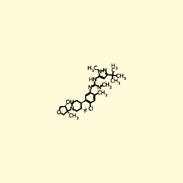 C=N/C(=N\c1cc([C@@H]2CCN([C@]3(C)COC[C@@H]3O)C[C@H]2F)c(Cl)cc1C)Nc1cc(C(C)(C)C)nn1C